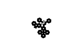 CC1(C)c2ccccc2-c2ccc(-c3cc4c(cc3-c3cc(-c5ccccc5)nc(-c5ccccc5)n3)-c3ccccc3C4(c3ccccc3)c3ccccc3)cc21